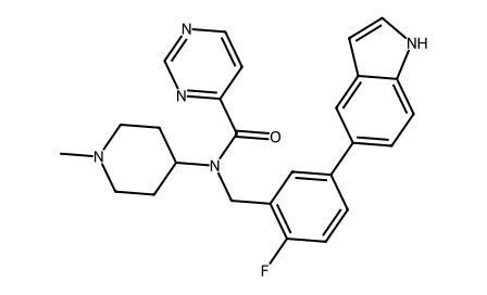 CN1CCC(N(Cc2cc(-c3ccc4[nH]ccc4c3)ccc2F)C(=O)c2ccncn2)CC1